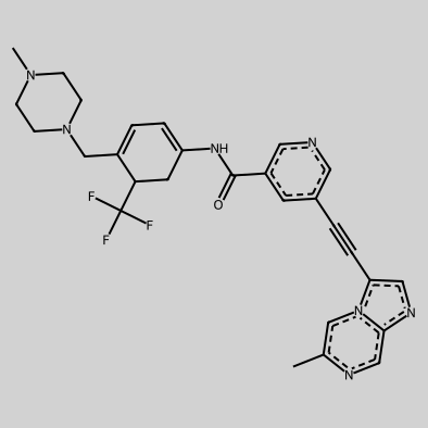 Cc1cn2c(C#Cc3cncc(C(=O)NC4=CC=C(CN5CCN(C)CC5)C(C(F)(F)F)C4)c3)cnc2cn1